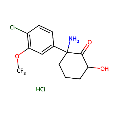 Cl.NC1(c2ccc(Cl)c(OC(F)(F)F)c2)CCCC(O)C1=O